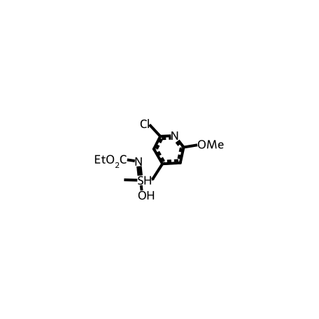 CCOC(=O)N=[SH](C)(O)Cc1cc(Cl)nc(OC)c1